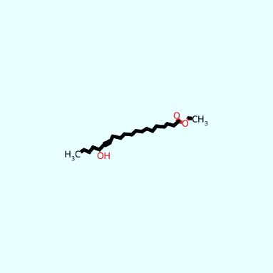 CCCC[C@@H](O)C#CCCCCCCCCCCCCC(=O)OCC